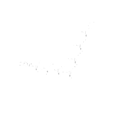 [Al+3].[Al+3].[O]=[Ti]([O-])[O-].[O]=[Ti]([O-])[O-].[O]=[Ti]([O-])[O-].[O]=[Ti]([O-])[O-].[O]=[Ti]([O-])[O-].[O]=[Ti]([O-])[O-].[O]=[Ti]([O-])[O-].[Zr+4].[Zr+4]